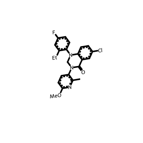 CCc1cc(F)ccc1N1CN(c2ccc(OC)nc2C)C(=O)c2cc(Cl)ccc21